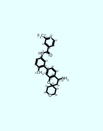 Cc1ccc(NC(=O)c2ccnc(C(F)(F)F)c2)cc1-c1ccc2c(c1)OC1(CCOCC1)CC2N